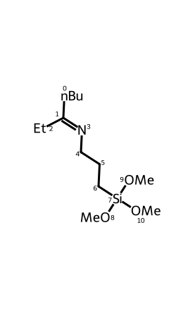 CCCCC(CC)=NCCC[Si](OC)(OC)OC